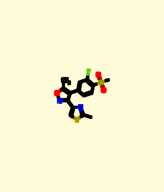 Cc1nc(-c2noc(C(F)(F)F)c2-c2ccc(S(C)(=O)=O)c(F)c2)cs1